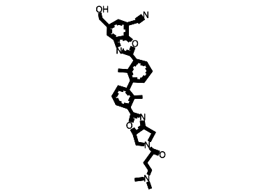 Cc1c(-c2nc3c(o2)CN(C(=O)CCN(C)C)C3)cccc1-c1cccc(-c2nc3cc(CO)cc(C#N)c3o2)c1C